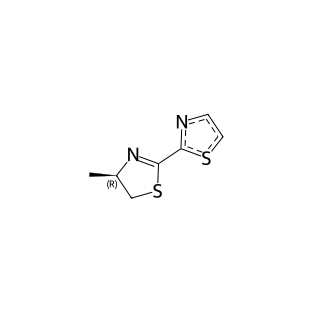 C[C@@H]1CSC(c2nccs2)=N1